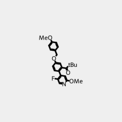 COc1ccc(COc2ccc(-c3cc(OC)ncc3F)c(C(=O)C(C)(C)C)c2)cc1